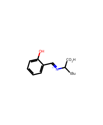 CC(C)(C)C(/N=C/c1ccccc1O)C(=O)O